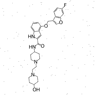 O=C(NC1CCN(CCN2CCC(O)CC2)CC1)c1cc2c(OCc3coc4cc(F)ccc34)cccc2[nH]1